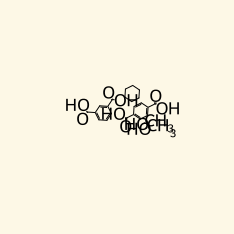 C1CCCCC1.CO.CO.O=C(O)c1ccc(C(=O)O)cc1.O=C(O)c1cccc(C(=O)O)c1